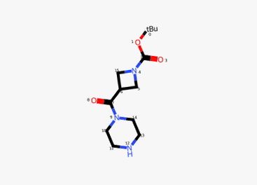 CC(C)(C)OC(=O)N1CC(C(=O)N2CCNCC2)C1